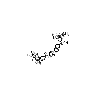 CCN(C1CCC(OC(N)=O)(C(C)(C)C)CC1)C1CCc2cc(-n3ccc(NC(=O)N4CCN(C(=O)C(C)(C)NC(=O)OC(C)(C)C)CC4)nc3=O)ccc2C1